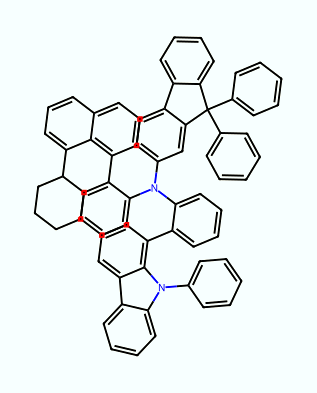 c1ccc(-n2c3ccccc3c3cccc(-c4ccccc4N(c4ccc5c(c4)C(c4ccccc4)(c4ccccc4)c4ccccc4-5)c4ccccc4-c4cccc5cccc(C6CCCCC6)c45)c32)cc1